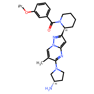 Cc1cn2nc([C@@H]3CCCCN3C(=O)c3cccc(OC(C)C)c3)cc2nc1N1CC[C@H](N)C1